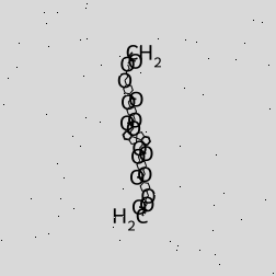 C=CC(=O)OCCCOC1CCC(C(=O)OC2CCC(OC(=O)Oc3cccc4c3C3(CC4)CCc4cccc(OC(=O)OC5CCC(OC(=O)C6CCC(OCOC(=O)C=C)CC6)CC5)c43)CC2)CC1